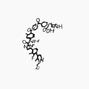 COCCn1ncc(-c2ccc(-c3cnc(C(=O)Nc4ccc(C(=O)N5CCN(C(=O)C6CC[N+](CC(=O)O)(CC7CNC7)CC6)CC5)c(C)c4)n3C)c(C)c2F)c1C